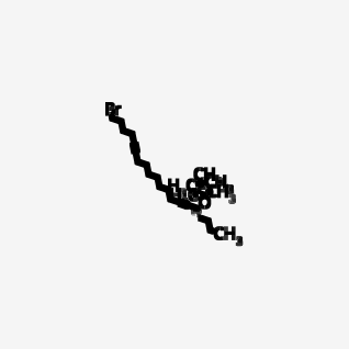 CCCC[C@H](C#CCCCCCCCC#CCCCCBr)O[Si](C)(C)C(C)(C)C